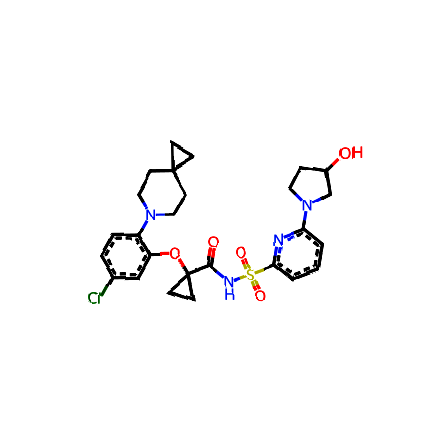 O=C(NS(=O)(=O)c1cccc(N2CCC(O)C2)n1)C1(Oc2cc(Cl)ccc2N2CCC3(CC2)CC3)CC1